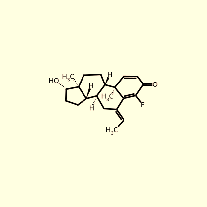 CC=C1C[C@H]2[C@@H]3CC[C@H](O)[C@@]3(C)CC[C@@H]2[C@@]2(C)C=CC(=O)C(F)=C12